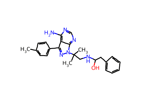 Cc1ccc(-c2nn(C(C)(C)CNC(O)Cc3ccccc3)c3ncnc(N)c23)cc1